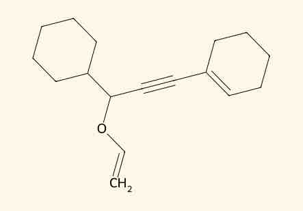 C=COC(C#CC1=CCCCC1)C1CCCCC1